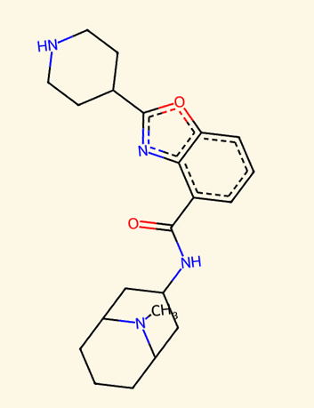 CN1C2CCCC1CC(NC(=O)c1cccc3oc(C4CCNCC4)nc13)C2